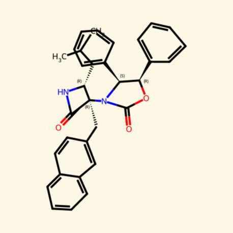 CC(C)C[C@H]1NC(=O)[C@]1(Cc1ccc2ccccc2c1)N1C(=O)O[C@H](c2ccccc2)[C@@H]1c1ccccc1